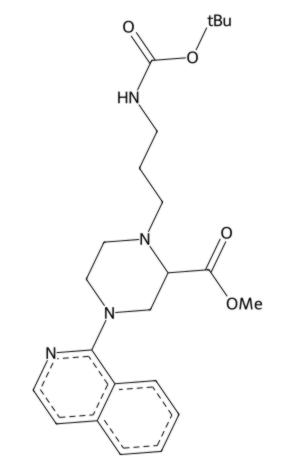 COC(=O)C1CN(c2nccc3ccccc23)CCN1CCCNC(=O)OC(C)(C)C